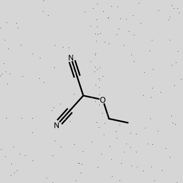 CCOC(C#N)C#N